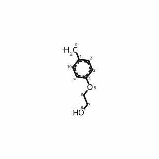 [CH2]c1ccc(OCCO)cc1